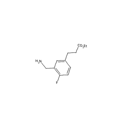 CCOC(=O)CCc1ccc(F)c(CN)c1